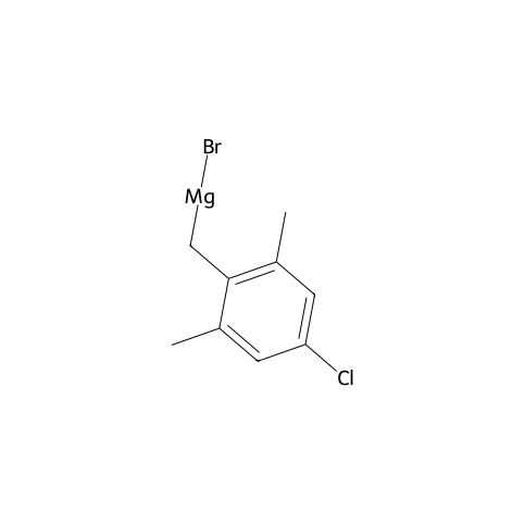 Cc1cc(Cl)cc(C)c1[CH2][Mg][Br]